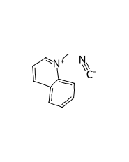 C[n+]1cccc2ccccc21.[C-]#N